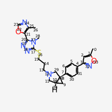 Cc1cc(-c2ccc([C@@]34C[C@@H]3CN(CCCSc3nnc(-c5ocnc5C)n3C)C4)cc2)no1